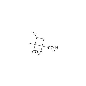 CC1CC(C)(C(=O)O)C1(C)C(=O)O